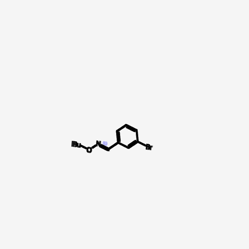 CCC(C)O/N=[C]/c1cccc(Br)c1